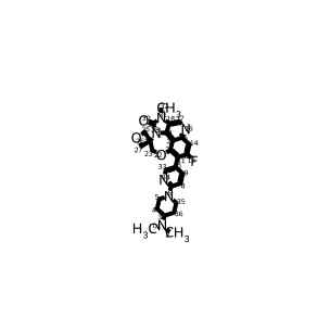 CN(C)C1CCN(c2ccc(-c3c(F)cc4ncc5c6c4c3OCC3(COC3)n6c(=O)n5C)cn2)CC1